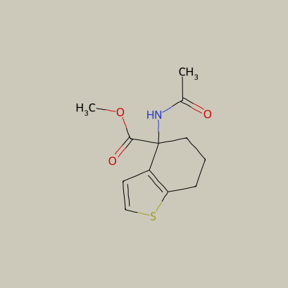 COC(=O)C1(NC(C)=O)CCCc2sccc21